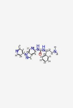 Cc1cc(-n2ncc3cc(NC(=O)NC(CCN(C)C)c4ccccc4)ncc32)ccn1